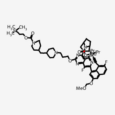 COCOc1cc(-c2ncc3c(N4CC5CCC(C4)N5C(=O)OC(C)(C)C)nc(OCCCN4CCC(CC5CCN(C(=O)OCC[Si](C)(C)C)CC5)CC4)nc3c2F)c2c(C#C[Si](C(C)C)(C(C)C)C(C)C)c(F)ccc2c1